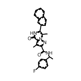 Cc1c(C(=O)NC(C)c2ccc(F)cc2)nn2c(C)c(-c3ccc4ccccc4c3)[nH]c(=O)c12